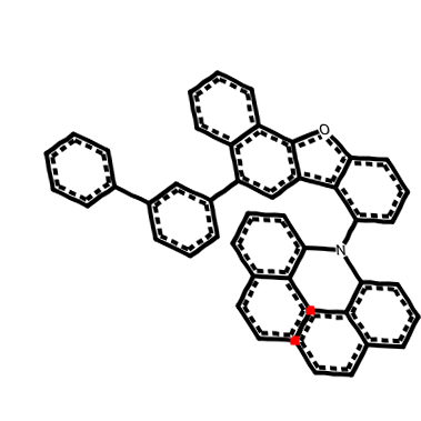 c1ccc(-c2cccc(-c3cc4c(oc5cccc(N(c6cccc7ccccc67)c6cccc7ccccc67)c54)c4ccccc34)c2)cc1